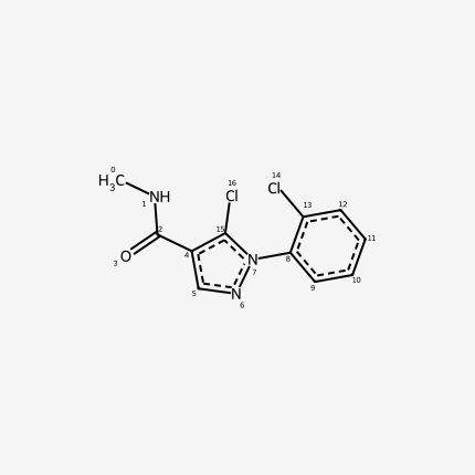 CNC(=O)c1cnn(-c2ccccc2Cl)c1Cl